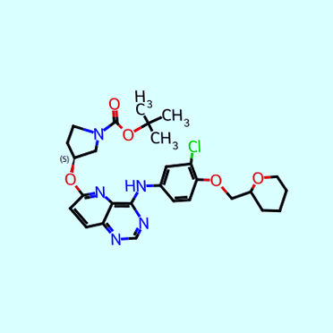 CC(C)(C)OC(=O)N1CC[C@H](Oc2ccc3ncnc(Nc4ccc(OCC5CCCCO5)c(Cl)c4)c3n2)C1